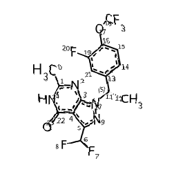 Cc1nc2c(c(C(F)F)nn2[C@@H](C)c2ccc(OC(F)(F)F)c(F)c2)c(=O)[nH]1